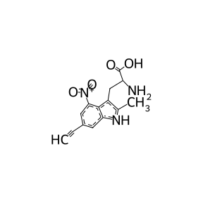 C#Cc1cc([N+](=O)[O-])c2c(CC(N)C(=O)O)c(C)[nH]c2c1